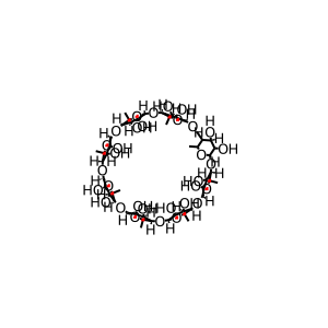 CC1O[C@@H]2O[C@@H]3C(C)O[C@H](O[C@@H]4C(C)O[C@H](O[C@@H]5C(C)O[C@H](O[C@@H]6C(C)O[C@@H](O[C@@H]7C(C)O[C@H](O[C@@H]8C(C)O[C@H](O[C@@H]9C(C)O[C@H](O[C@H]1[C@H](O)C2O)C(O)[C@H]9O)C(O)[C@H]8O)C(O)[C@H]7O)C(O)[C@H]6O)C(O)[C@H]5O)C(O)[C@H]4O)C(O)[C@H]3O